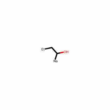 CCC[CH](O)[Na]